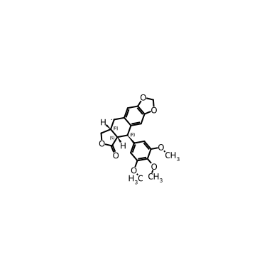 COc1cc([C@@H]2c3cc4c(cc3[CH][C@H]3COC(=O)[C@@H]23)OCO4)cc(OC)c1OC